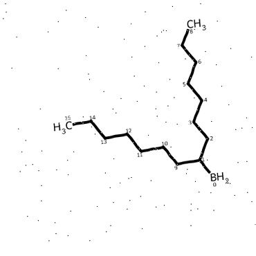 BC(CCCCCCC)CCCCCCC